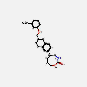 COc1cccc(OC[C@@H]2CCc3cc([C@@H]4CCCOC(=O)NC4)ccc3C2)c1